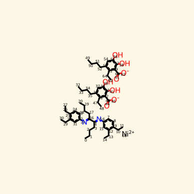 CCCCC(=Nc1ccc(CC)c(CC)c1)C(CCCC)=Nc1ccc(CC)c(CC)c1.CCCCc1cc(O)c(O)c(C(=O)[O-])c1CC.CCCCc1cc(O)c(O)c(C(=O)[O-])c1CC.[Ni+2]